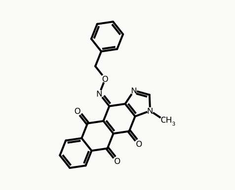 Cn1cnc2/c(=N\OCc3ccccc3)c3c(=O)c4ccccc4c(=O)c=3c(=O)c21